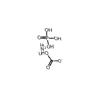 N.O=C([O-])O.O=P(O)(O)O.[Li+]